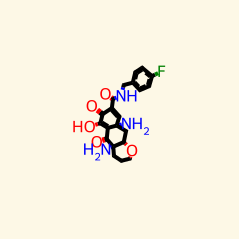 NC12C=C(C(=O)NCc3ccc(F)cc3)C(=O)C(O)=C1C(=O)C1(N)CCCOC1C2